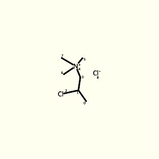 CC(Cl)C[N+](C)(C)C.[Cl-]